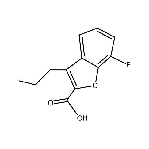 CCCc1c(C(=O)O)oc2c(F)cccc12